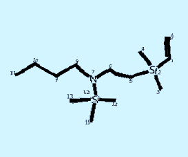 C=C[Si](C)(C)CCN(CCCC)[Si](C)(C)C